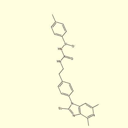 CCc1nc2c(C)nc(C)cc2n1-c1ccc(CCNC(=O)N[S+]([O-])c2ccc(C)cc2)cc1